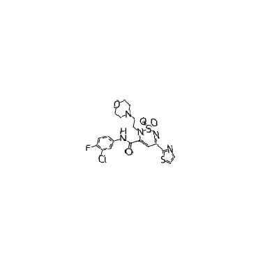 O=C(Nc1ccc(F)c(Cl)c1)C1=CC(c2nccs2)=NS(=O)(=O)N1CCN1CCOCC1